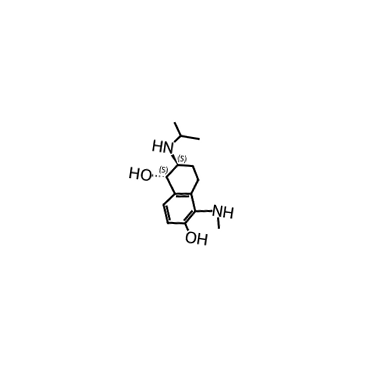 CNc1c(O)ccc2c1CC[C@H](NC(C)C)[C@H]2O